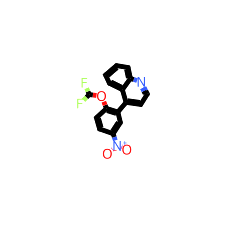 O=[N+]([O-])c1ccc(OC(F)F)c(-c2ccnc3ccccc23)c1